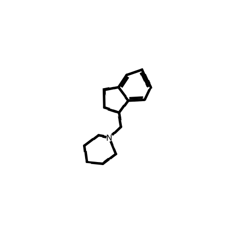 c1ccc2c(c1)CCC2CN1CCCCC1